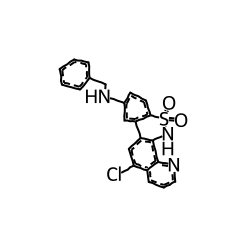 O=S1(=O)Nc2c(cc(Cl)c3cccnc23)-c2cc(NCc3ccccc3)ccc21